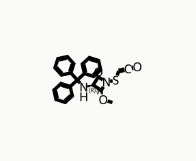 CO[C@@H]1[C@@H](NC(c2ccccc2)(c2ccccc2)c2ccccc2)C(=O)N1SC=C=O